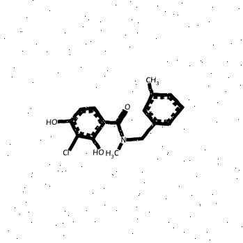 Cc1cccc(CN(C)C(=O)c2ccc(O)c(Cl)c2O)c1